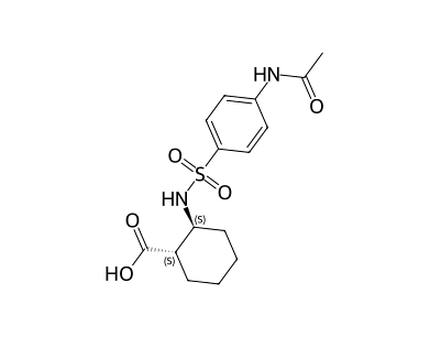 CC(=O)Nc1ccc(S(=O)(=O)N[C@H]2CCCC[C@@H]2C(=O)O)cc1